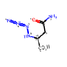 [N-]=[N+]=NN[C@@H](CC(N)=O)C(=O)O